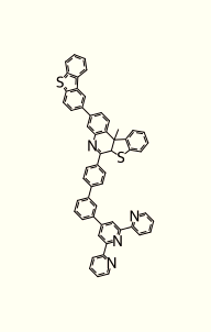 CC12c3ccc(-c4ccc5sc6ccccc6c5c4)cc3N=C(c3ccc(-c4cccc(-c5cc(-c6ccccn6)nc(-c6ccccn6)c5)c4)cc3)C1Sc1ccccc12